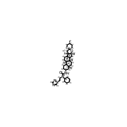 C[C@H]1CC[C@@]2(OC1)O[C@H]1C[C@H]3[C@@H]4CC[C@@H]5C[C@H](NC(=O)N(CCn6cncn6)C6CCCCC6)CC[C@]5(C)[C@H]4CC[C@]3(C)[C@H]1[C@@H]2C